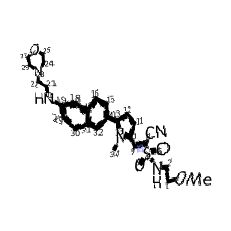 COCCNS(=O)(=O)/C(C#N)=C/c1ccc(-c2ccc3cc(NCCN4CCOCC4)ccc3c2)n1C